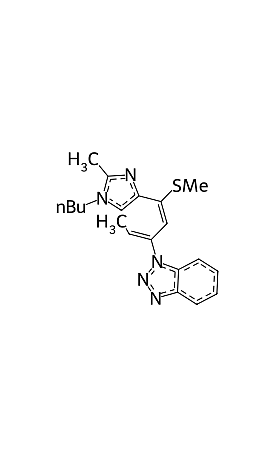 C/C=C(\C=C(\SC)c1cn(CCCC)c(C)n1)n1nnc2ccccc21